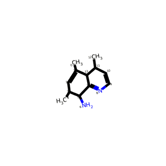 CC1=CC(C)C(N)C2=NC=CC(C)C12